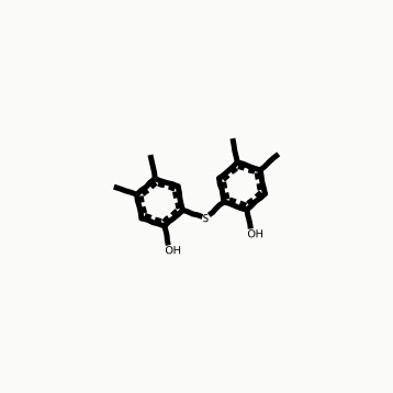 Cc1cc(O)c(Sc2cc(C)c(C)cc2O)cc1C